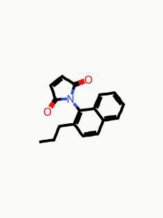 CCCc1ccc2ccccc2c1N1C(=O)C=CC1=O